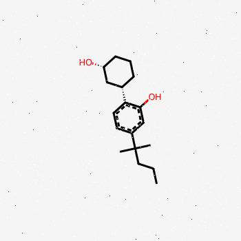 CCCC(C)(C)c1ccc([C@H]2CCC[C@@H](O)C2)c(O)c1